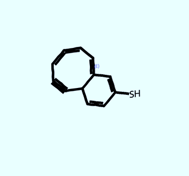 SC1=C/C2=C/C=C=CC#CC2C=C1